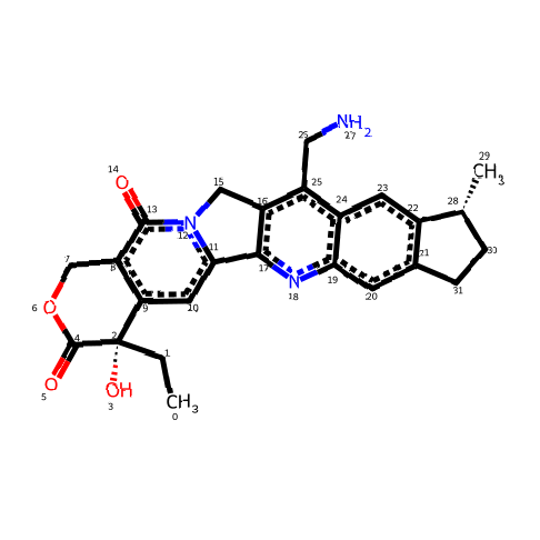 CC[C@@]1(O)C(=O)OCc2c1cc1n(c2=O)Cc2c-1nc1cc3c(cc1c2CN)[C@H](C)CC3